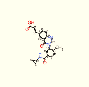 Cc1ccc(C(=O)NC2CC2)cc1-n1cnc2ccc(/C=C/C(=O)O)cc2c1=O